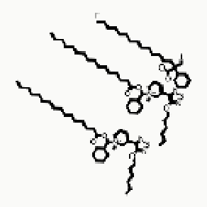 CCCCCCCCCCCCCCC(CI)(C(=O)[O-])C1CCCCC1.CCCCCCCCCCCCCCCC(=O)OC(C1CCCCC1)[N+]1(C)CCC=C(c2nsnc2OCCCCCC)C1.CCCCCCCCCCCCCCCC(=O)OC(C1CCCCC1)[N+]1(C)CCC=C(c2nsnc2OCCCCCC)C1.[I-]